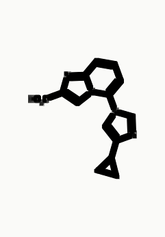 O=C(O)c1cn2c(-n3cnc(C4CC4)c3)cccc2n1